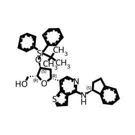 CC(C)(C)[Si](O[C@H]1C[C@H](c2cnc(N[C@H]3CCc4ccccc43)c3ccsc23)O[C@@H]1CO)(c1ccccc1)c1ccccc1